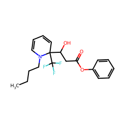 CCCCN1C=CC=CC1(C(O)CC(=O)Oc1ccccc1)C(F)(F)F